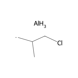 [AlH3].[CH2]C(C)CCl